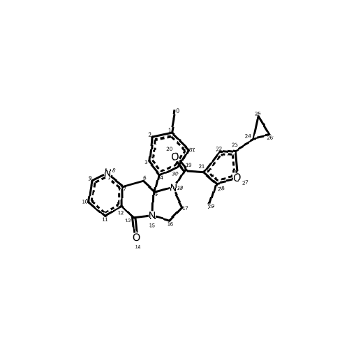 Cc1ccc(C23Cc4ncccc4C(=O)N2CCN3C(=O)c2cc(C3CC3)oc2C)cc1